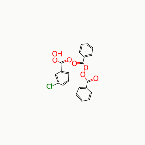 O=C(OO)c1cccc(Cl)c1.O=C(OOC(=O)c1ccccc1)c1ccccc1